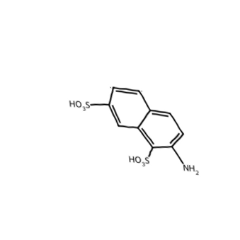 Nc1ccc2[c][c]c(S(=O)(=O)O)cc2c1S(=O)(=O)O